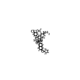 CC(C)Oc1cc(C(F)(F)C(NS(=O)(=O)c2ccc3cc(OC4CCCC4)ccc3c2)C(=O)N2CCC(N)CC2)ccc1Cl